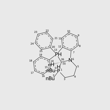 CCCC[PH]1(CCCC)CCCN2c3ccccc3[PH](c3ccccc3)(c3ccccc3)[C@@H]21